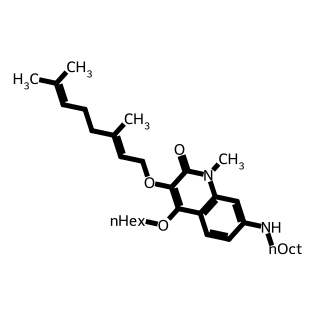 CCCCCCCCNc1ccc2c(OCCCCCC)c(OC/C=C(\C)CCC=C(C)C)c(=O)n(C)c2c1